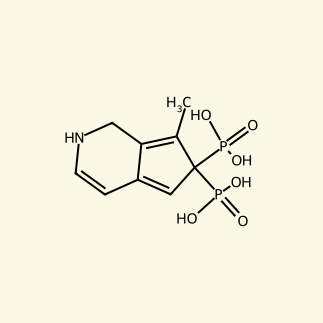 CC1=C2CNC=CC2=CC1(P(=O)(O)O)P(=O)(O)O